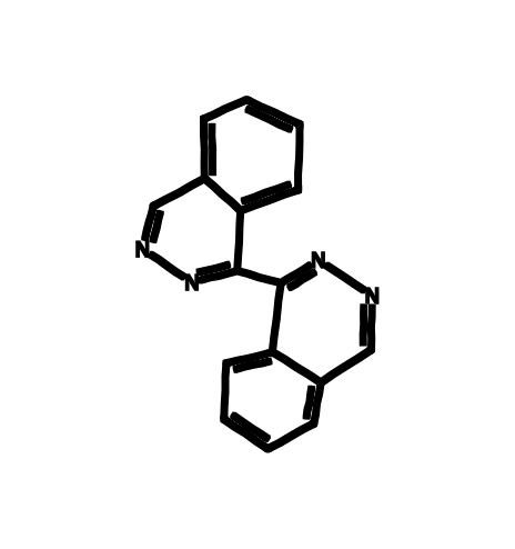 c1ccc2c(-c3nncc4ccccc34)nncc2c1